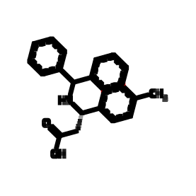 Cc1ccc([C@H](CC(=O)O)NC(c2ccccc2)c2ccccc2)cc1